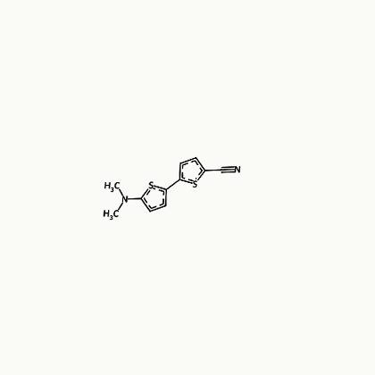 CN(C)c1ccc(-c2ccc(C#N)s2)s1